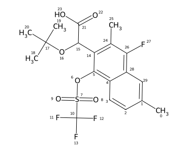 Cc1ccc2c(OS(=O)(=O)C(F)(F)F)c(C(OC(C)(C)C)C(=O)O)c(C)c(F)c2c1